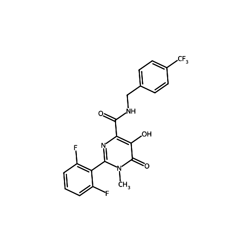 Cn1c(-c2c(F)cccc2F)nc(C(=O)NCc2ccc(C(F)(F)F)cc2)c(O)c1=O